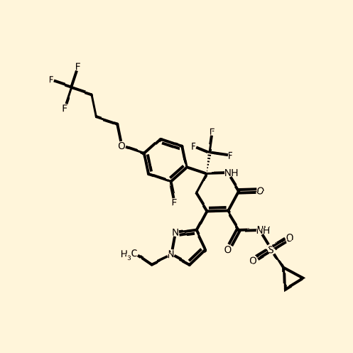 CCn1ccc(C2=C(C(=O)NS(=O)(=O)C3CC3)C(=O)N[C@@](c3ccc(OCCCC(F)(F)F)cc3F)(C(F)(F)F)C2)n1